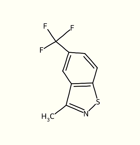 Cc1nsc2ccc(C(F)(F)F)cc12